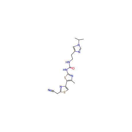 Cc1nc(NC(=O)NCCc2cn(C(C)C)cn2)sc1-c1csc(CC#N)n1